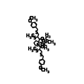 COc1ccc(CSCC(SC)C(=O)N2CCC[C@]2(C(=O)OC(C)(C)C)C(=O)C(CSCc2ccc(OC)cc2)SC)cc1